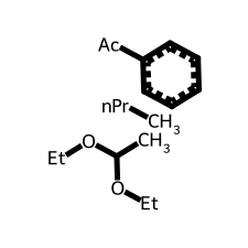 CC(=O)c1ccccc1.CCCC.CCOC(C)OCC